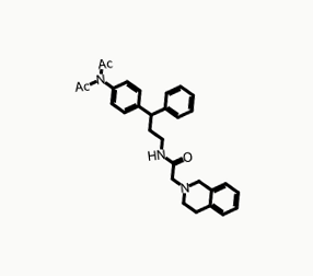 CC(=O)N(C(C)=O)c1ccc(C(CCNC(=O)CN2CCc3ccccc3C2)c2ccccc2)cc1